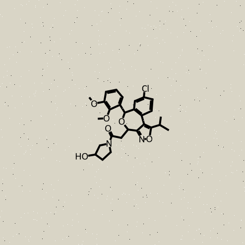 COc1cccc(C2OC(CC(=O)N3CCC(O)C3)c3noc(C(C)C)c3-c3ccc(Cl)cc32)c1OC